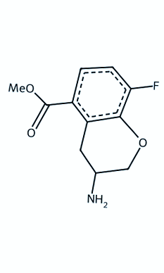 COC(=O)c1ccc(F)c2c1CC(N)CO2